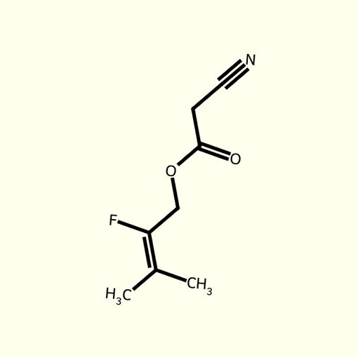 CC(C)=C(F)COC(=O)CC#N